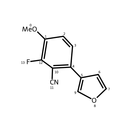 COc1ccc(-c2ccoc2)c(C#N)c1F